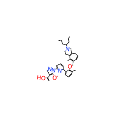 C=C(O)c1cnn(-c2cccc(-c3cccc(C)c3OCC3=C(C)C4=C(CC=C3)CN(C(CCC)CCC)CC4)n2)c1OC